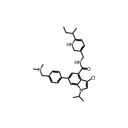 CCC(C)C1=CC=C(CNC(=O)c2cc(-c3ccc(CN(C)C)cc3)cc3c2c(Cl)cn3C(C)C)CN1